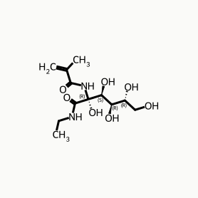 C=C(C)C(=O)N[C@](O)(C(=O)NCC)[C@@H](O)[C@H](O)[C@H](O)CO